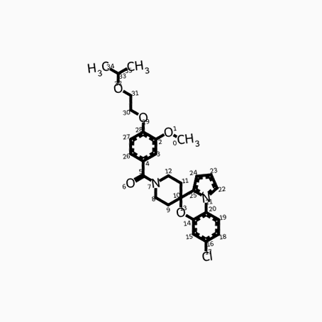 COc1cc(C(=O)N2CCC3(CC2)Oc2cc(Cl)ccc2-n2cccc23)ccc1OCCOC(C)C